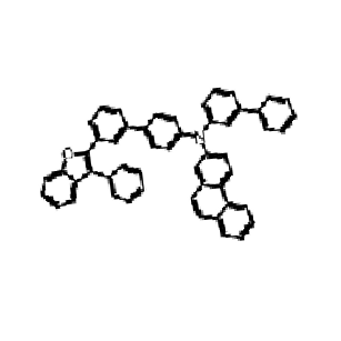 c1ccc(-c2cccc(N(c3ccc(-c4cccc(-c5oc6ccccc6c5-c5ccccc5)c4)cc3)c3ccc4c(ccc5ccccc54)c3)c2)cc1